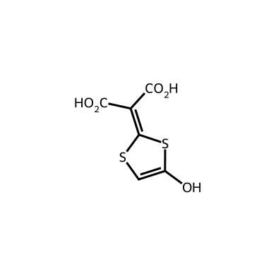 O=C(O)C(C(=O)O)=C1SC=C(O)S1